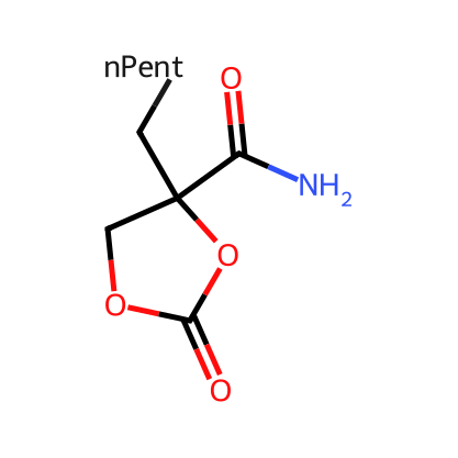 CCCCCCC1(C(N)=O)COC(=O)O1